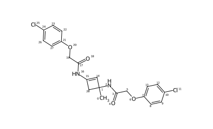 CC1(NC(=O)COc2ccc(Cl)cc2)C=C(NC(=O)COc2ccc(Cl)cc2)C1